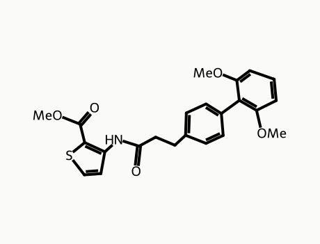 COC(=O)c1sccc1NC(=O)CCc1ccc(-c2c(OC)cccc2OC)cc1